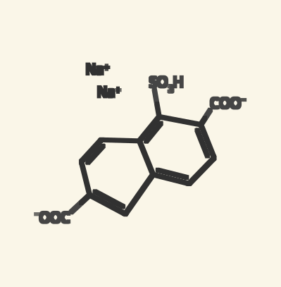 O=C([O-])c1ccc2c(S(=O)(=O)O)c(C(=O)[O-])ccc2c1.[Na+].[Na+]